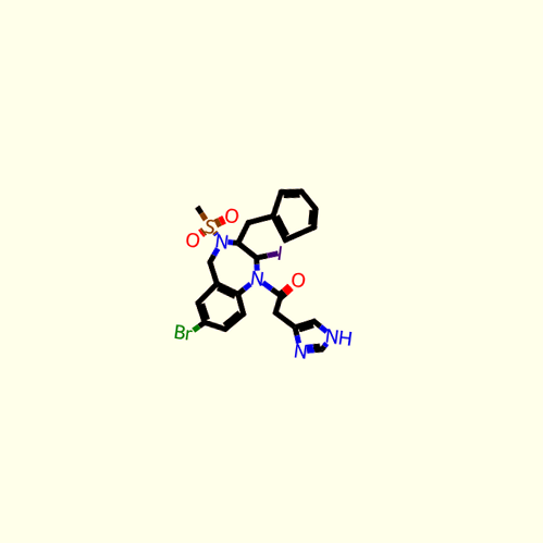 CS(=O)(=O)N1Cc2cc(Br)ccc2N(C(=O)Cc2c[nH]cn2)C(I)C1Cc1ccccc1